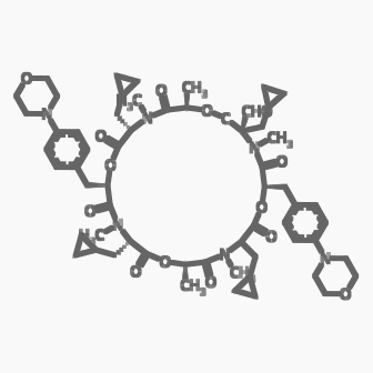 C[C@H]1OC(=O)[C@H](CC2CC2)N(C)C(=O)[C@@H](Cc2ccc(N3CCOCC3)cc2)OC(=O)[C@H](CC2CC2)N(C)C(=O)[C@@H](C)OC[C@](C=O)(CC2CC2)N(C)C(=O)[C@@H](Cc2ccc(N3CCOCC3)cc2)OC(=O)C(CC2CC2)N(C)C1=O